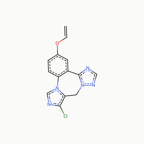 C=COc1ccc2c(c1)-c1ncnn1Cc1c(Cl)ncn1-2